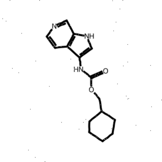 O=C(Nc1c[nH]c2cnccc12)OCC1CCCCC1